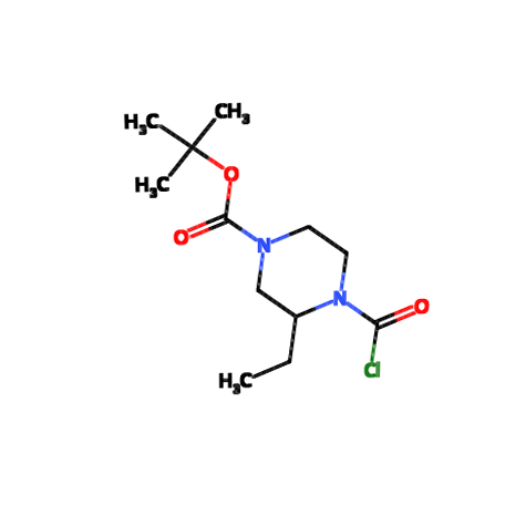 CCC1CN(C(=O)OC(C)(C)C)CCN1C(=O)Cl